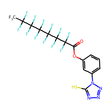 O=C(Oc1cccc(-n2nnnc2S)c1)C(F)(F)C(F)(F)C(F)(F)C(F)(F)C(F)(F)C(F)(F)C(F)(F)F